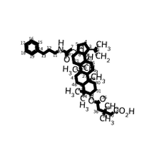 C=C(C)[C@@H]1CC[C@]2(CC(=O)NCCCc3ccccc3)CC[C@]3(C)[C@H](CCC4[C@@]5(C)CC[C@H](OC(=O)CC(C)(C)CC(=O)O)C(C)(C)C5CC[C@]43C)[C@@H]12